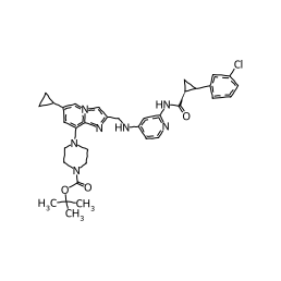 CC(C)(C)OC(=O)N1CCN(c2cc(C3CC3)cn3cc(CNc4ccnc(NC(=O)[C@H]5CC5c5cccc(Cl)c5)c4)nc23)CC1